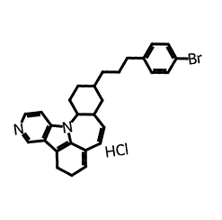 Brc1ccc(CCCC2CCC3C(C=CC4=CCCc5c4n3c3ccncc53)C2)cc1.Cl